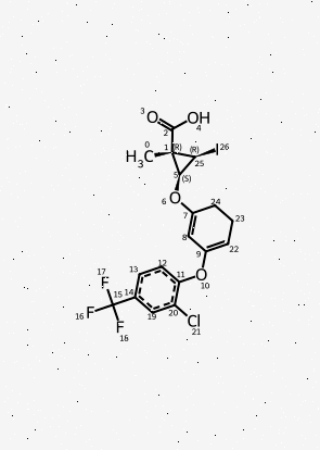 C[C@]1(C(=O)O)[C@H](OC2=CC(Oc3ccc(C(F)(F)F)cc3Cl)=CCC2)[C@@H]1I